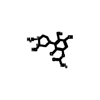 CC(C)(C)c1c(C#N)cc(OC(N)=O)c(Cl)c1N1CC[C@@H](N)[C@H](O)C1